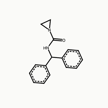 O=C(NC(c1ccccc1)c1ccccc1)N1CC1